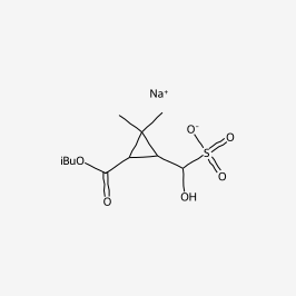 CC(C)COC(=O)C1C(C(O)S(=O)(=O)[O-])C1(C)C.[Na+]